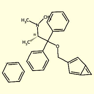 C[C@H](N(C)C)C(OCc1cc2cc-2c1)(c1ccccc1)c1ccccc1.[c]1ccccc1